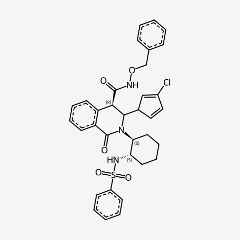 O=C(NOCc1ccccc1)[C@@H]1c2ccccc2C(=O)N([C@H]2CCCC[C@@H]2NS(=O)(=O)c2ccccc2)C1C1C=CC(Cl)=C1